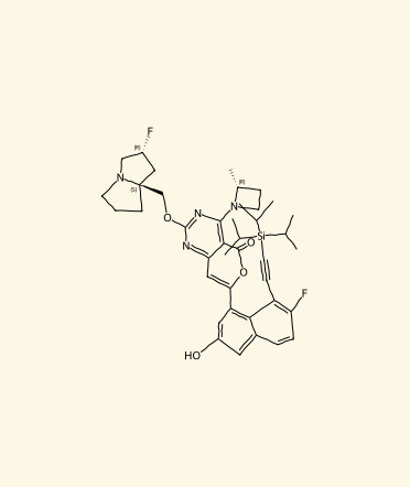 CC(C)[Si](C#Cc1c(F)ccc2cc(O)cc(-c3cc4nc(OC[C@@]56CCCN5C[C@H](F)C6)nc(N5CC[C@H]5C)c4c(=O)o3)c12)(C(C)C)C(C)C